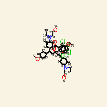 CCN(CCOC)c1ccc(C(=CC2(C=C(c3ccc(OC)cc3)c3ccc(N(CC)CCOC)c(C)c3)OC(=O)c3c(Cl)c(Cl)c(Cl)c(Cl)c32)c2ccc(OC)cc2)cc1C